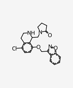 O=C1CCCN1CC1NCCc2c(Cl)ccc(OCc3noc4ccccc34)c21